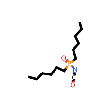 CCCCCCP(=O)(CCCCCC)N=C=O